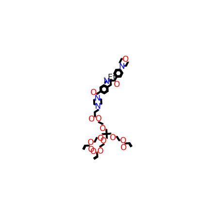 C=CC(=O)OCCOCC(COCCOC(=O)C=C)(COCCOC(=O)C=C)COCCOC(=O)CCN1CCN(C(=O)c2ccc(CC(CC)(C(=O)c3ccc(N4CCOCC4)cc3)N(C)C)cc2)CC1